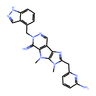 Cn1c(Cc2cccc(N)n2)nc2c3cnn(Cc4cccc5[nH]ncc45)c(=N)c3n(C)c21